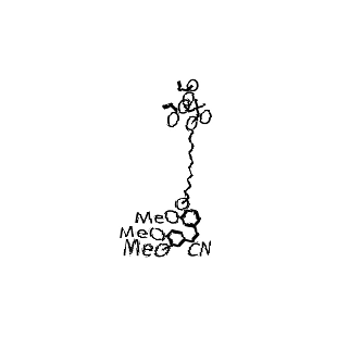 C=CC(=O)OCC(C)(COC(=O)C=C)C(=O)OCCCCCCCCCCCOc1ccc(C=C(C#N)c2ccc(OC)c(OC)c2)cc1OC